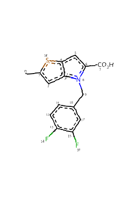 Cc1cc2c(cc(C(=O)O)n2Cc2ccc(F)c(F)c2)s1